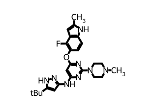 Cc1cc2c(F)c(Oc3cc(Nc4cc(C(C)(C)C)[nH]n4)nc(N4CCN(C)CC4)n3)ccc2[nH]1